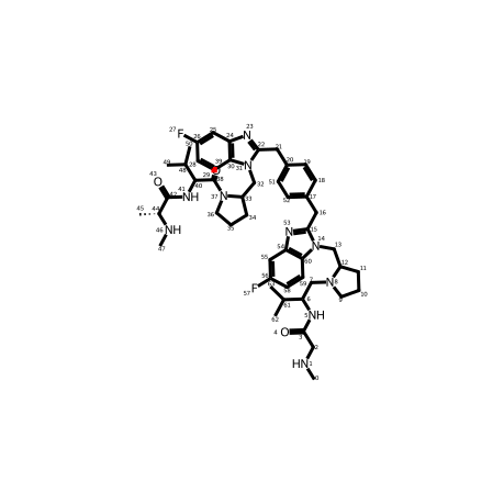 CNCC(=O)NC(CN1CCCC1Cn1c(Cc2ccc(Cc3nc4cc(F)ccc4n3CC3CCCN3C(=O)C(NC(=O)[C@@H](C)NC)C(C)C)cc2)nc2cc(F)ccc21)C(C)C